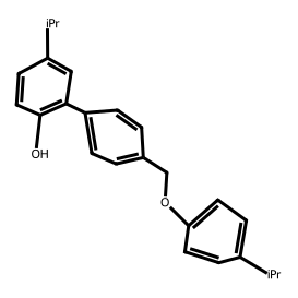 CC(C)c1ccc(OCc2ccc(-c3cc(C(C)C)ccc3O)cc2)cc1